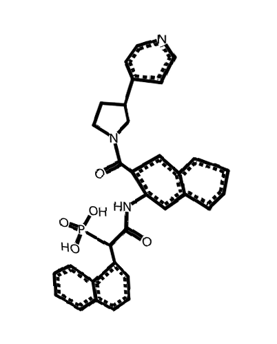 O=C(Nc1cc2ccccc2cc1C(=O)N1CCC(c2ccncc2)C1)C(c1cccc2ccccc12)P(=O)(O)O